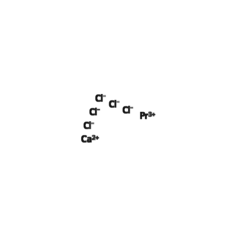 [Ca+2].[Cl-].[Cl-].[Cl-].[Cl-].[Cl-].[Pr+3]